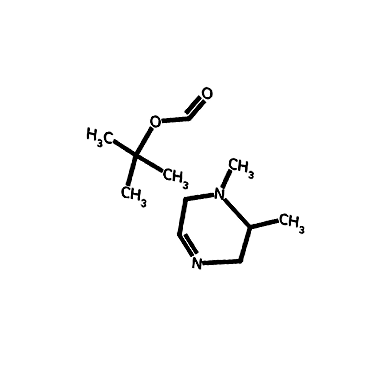 CC(C)(C)OC=O.CC1CN=CCN1C